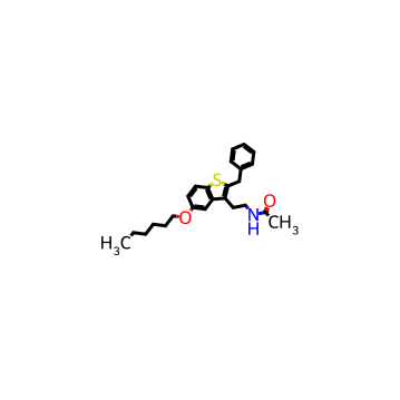 CCCCCCOc1ccc2sc(Cc3ccccc3)c(CCNC(C)=O)c2c1